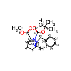 COC(=O)C1C2CC[C@@H](CN1C(=O)OC(C)(C)C)N(Cc1ccccc1)C2